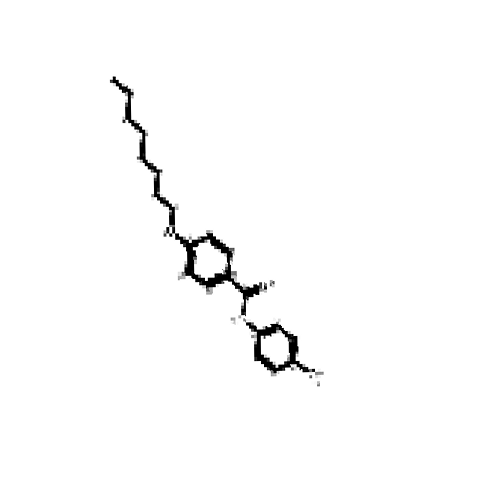 CCCCCCCCOc1ccc(C(=O)Oc2ccc(O)cc2)cc1